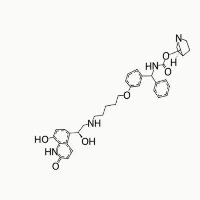 O=C(NC(c1ccccc1)c1cccc(OCCCCCNC[C@@H](O)c2ccc(O)c3[nH]c(=O)ccc23)c1)O[C@H]1CN2CCC1CC2